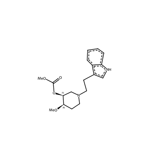 COC(=O)O[C@H]1CN(CCc2c[nH]c3ccccc23)CC[C@H]1OC